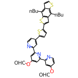 CCCCc1c2cc(-c3ccc(-c4ccnc(-c5cc(OC=O)cc(-c6cc(OC=O)ccn6)n5)c4)s3)sc2c(CCCC)c2ccsc12